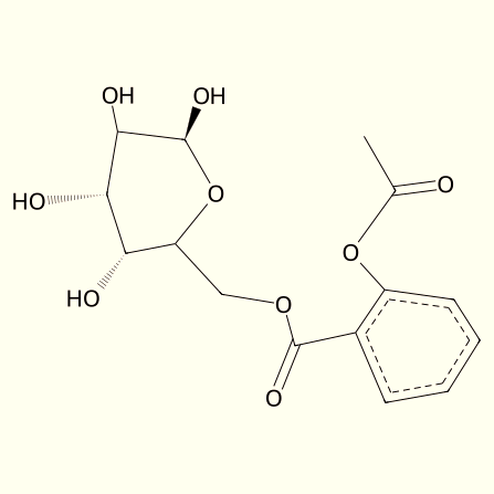 CC(=O)Oc1ccccc1C(=O)OCC1O[C@H](O)C(O)[C@@H](O)[C@H]1O